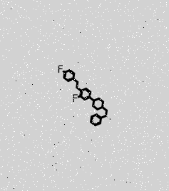 C[C@@H](CC1CCC(c2ccc(CCc3ccc(F)cc3)c(F)c2)CC1)c1ccccc1